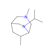 CC1CC2CN(C)CC1N(C(C)C)C2